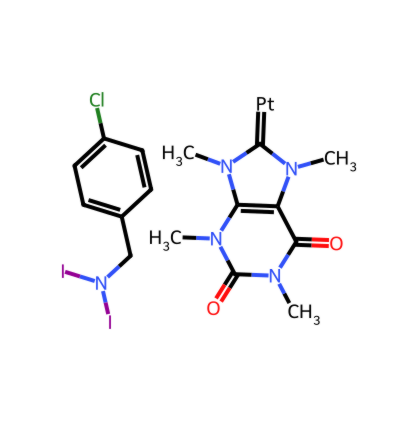 Clc1ccc(CN(I)I)cc1.Cn1c(=O)c2c(n(C)c1=O)n(C)[c](=[Pt])n2C